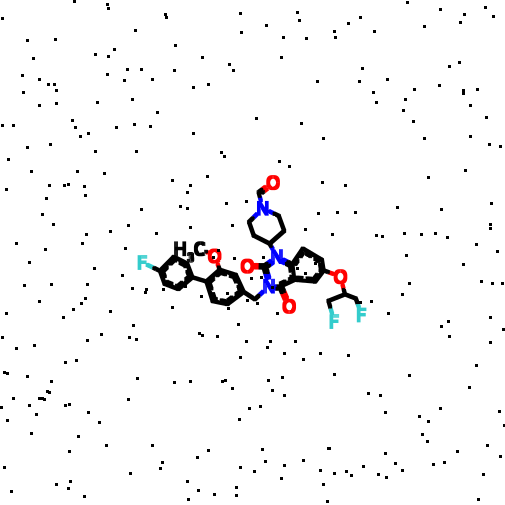 COc1cc(Cn2c(=O)c3cc(OC(CF)CF)ccc3n(C3CCN(C=O)CC3)c2=O)ccc1-c1ccc(F)cc1